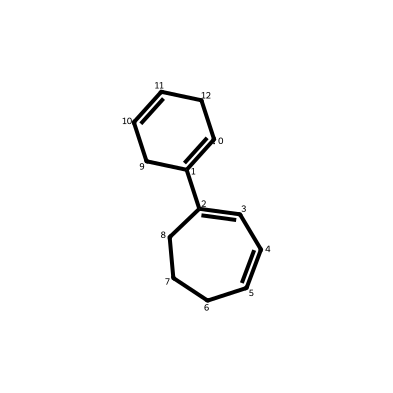 [C]1=C(C2=CC=CCCC2)CC=CC1